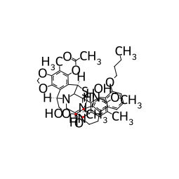 CCCCOc1cccc2c3c([nH]c12)[C@@]1(CS[C@@H]2c4c(OC(C)=O)c(C)c5c(c4[C@H](COC1=O)N1C2[C@@H]2c4c(cc(C)c(OC)c4O)C[C@@H]([C@@H]1O)N2C)OCO5)NCC3